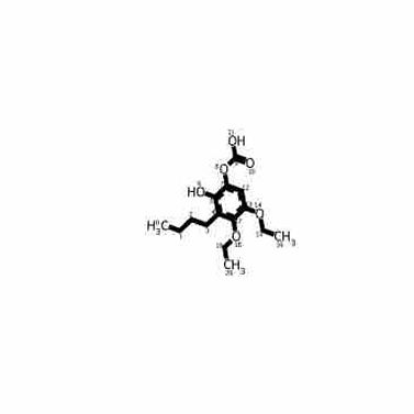 CCCCc1c(O)c(OC(=O)O)cc(OCC)c1OCC